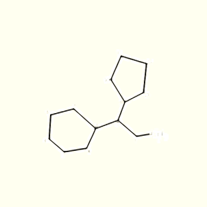 CCC(C1CCCCC1)C1CCCC1